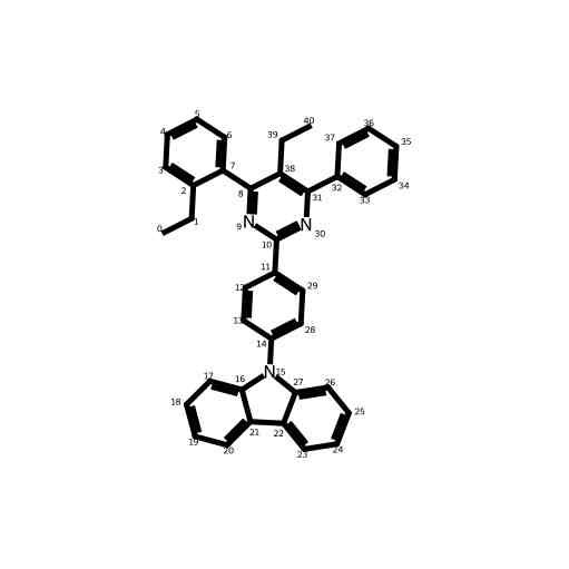 CCc1ccccc1-c1nc(-c2ccc(-n3c4ccccc4c4ccccc43)cc2)nc(-c2ccccc2)c1CC